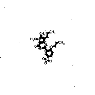 CCCOc1ccc(S(=O)(=O)Cl)cc1-c1nc2c(CCC)c(C)n(C)c2c(=O)[nH]1